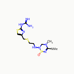 CNC1=N[S+]([O-])N(NCCSCc2csc(NC(=N)N)n2)CN1C